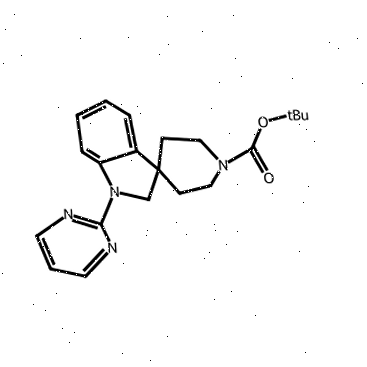 CC(C)(C)OC(=O)N1CCC2(CC1)CN(c1ncccn1)c1ccccc12